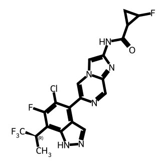 C[C@H](c1c(F)c(Cl)c(-c2cn3cc(NC(=O)C4CC4F)nc3cn2)c2cn[nH]c12)C(F)(F)F